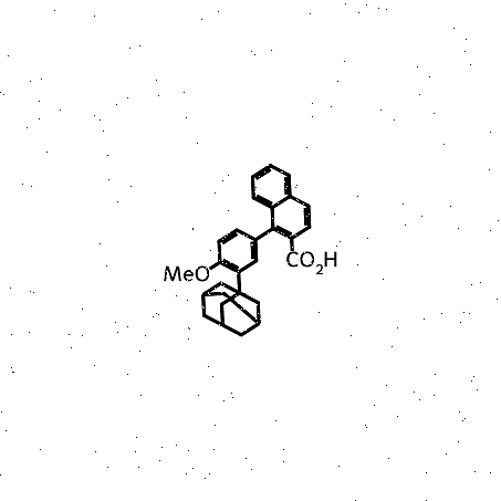 COc1ccc(-c2c(C(=O)O)ccc3ccccc23)cc1C12CC3CC(CC(C3)C1)C2